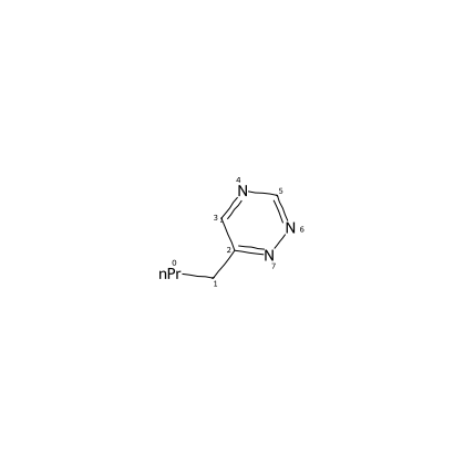 CCCCc1[c]ncnn1